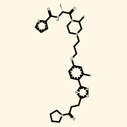 C[C@@H](NC(=O)c1cccs1)C(=O)N1CCN(CCCOc2ccc(-c3noc(CCC(=O)N4CCCC4)n3)c(F)c2)CC1I